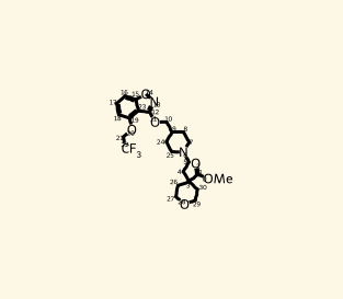 COC(=O)C1(CCN2CCC(COc3noc4cccc(OCC(F)(F)F)c34)CC2)CCOCC1